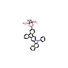 CC1(C)OB(c2ccc3c(c2)c2ccccc2c2cc4c5c6ccccc6ccc5n(-c5ccccc5)c4cc32)OC1(C)C